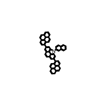 C1=CC2C=Cc3c(-c4cc5ccc6cc(-c7ccc8c9c%10c(ccc79)C=CCC%10=CC8)cc7c6c5c(c4)n7-c4ccc5ccccc5c4)ccc4c3C2C(=C1)C=C4